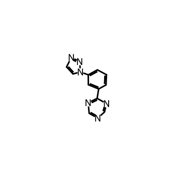 c1cc(-c2ncncn2)cc(-n2ccnn2)c1